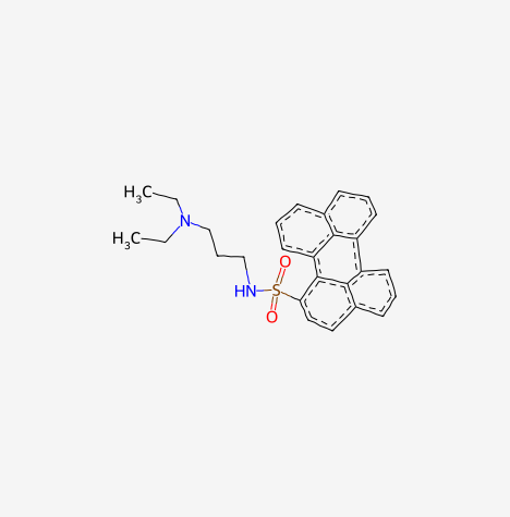 CCN(CC)CCCNS(=O)(=O)c1ccc2cccc3c4cccc5cccc(c1c23)c54